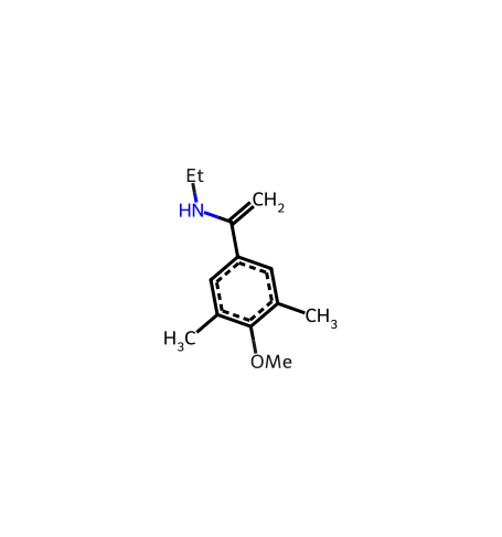 C=C(NCC)c1cc(C)c(OC)c(C)c1